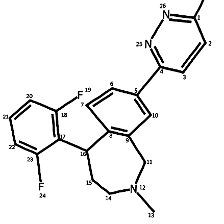 Cc1ccc(-c2ccc3c(c2)CN(C)CCC3c2c(F)cccc2F)nn1